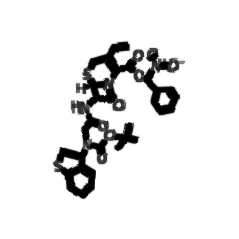 C=CC1=C(C(=O)OC(c2ccccc2)[N+](=O)[O-])N2C(=O)C(NC(=O)CN(C(=O)OC(C)(C)C)c3csc4ccccc34)[C@@H]2SC1